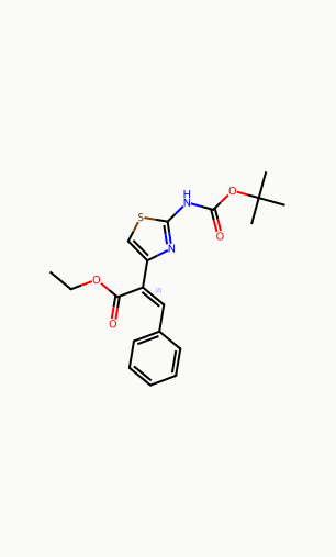 CCOC(=O)/C(=C\c1ccccc1)c1csc(NC(=O)OC(C)(C)C)n1